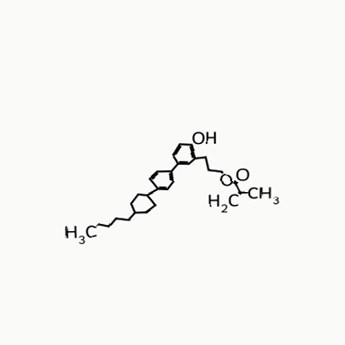 C=C(C)C(=O)OCCCc1cc(-c2ccc(C3CCC(CCCCC)CC3)cc2)ccc1O